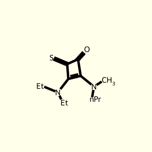 CCCN(C)c1c(N(CC)CC)c(=S)c1=O